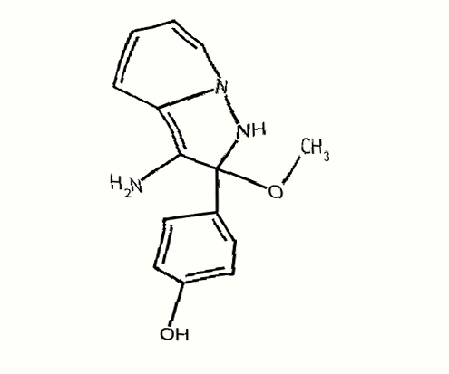 COC1(c2ccc(O)cc2)NN2C=CC=CC2=C1N